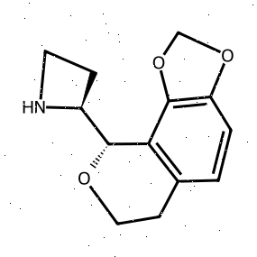 c1cc2c(c3c1CCO[C@@H]3[C@@H]1CCN1)OCO2